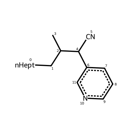 CCCCCCCCC(C)C(C#N)c1cccnc1